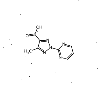 Cc1nn(-c2ncccn2)nc1C(=O)O